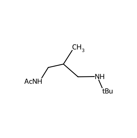 CC(=O)NCC(C)CNC(C)(C)C